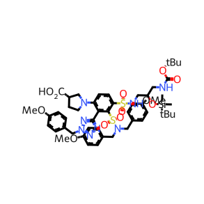 COc1ccc(CN(Cc2ccc(OC)cc2)S(=O)(=O)c2c(S(=O)(=O)NCC(CNC(=O)OC(C)(C)C)O[Si](C)(C)C(C)(C)C)ccc(N3CCC(C(=O)O)C3)c2-c2nnn(Cc3ccc(OC)cc3)n2)cc1